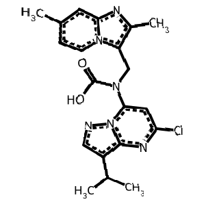 Cc1ccn2c(CN(C(=O)O)c3cc(Cl)nc4c(C(C)C)cnn34)c(C)nc2c1